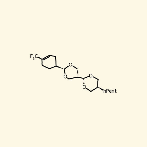 CCCCC[C@H]1CO[C@H]([C@H]2CO[C@H](C3CC=C(C(F)(F)F)CC3)OC2)OC1